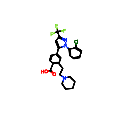 O=C(O)c1ccc(-c2cc(C(F)(F)F)nn2-c2ccccc2Cl)cc1CCN1CCCCC1